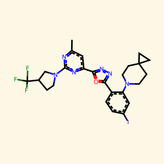 Cc1cc(-c2nnc(-c3ccc(I)cc3N3CCC4(CC3)CC4)o2)nc(N2CCC(C(F)(F)F)C2)n1